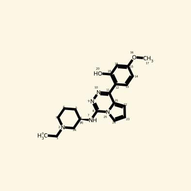 CCN1CCC[C@@H](Nc2nnc(-c3ccc(OC)cc3O)c3cccn23)C1